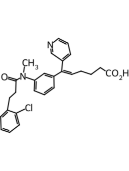 CN(C(=O)CCc1ccccc1Cl)c1cccc(C(=CCCCC(=O)O)c2cccnc2)c1